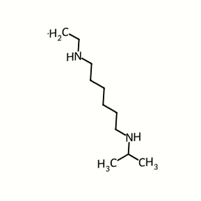 [CH2]CNCCCCCCNC(C)C